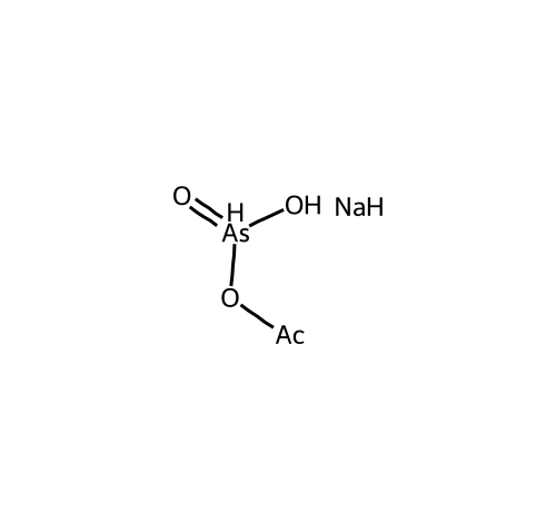 CC(=O)O[AsH](=O)O.[NaH]